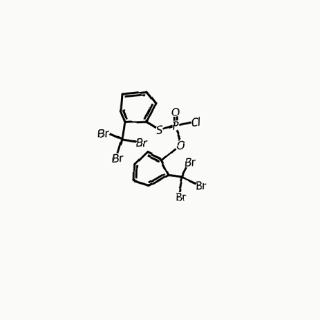 O=P(Cl)(Oc1ccccc1C(Br)(Br)Br)Sc1ccccc1C(Br)(Br)Br